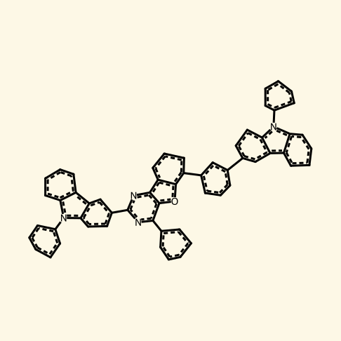 c1ccc(-c2nc(-c3ccc4c(c3)c3ccccc3n4-c3ccccc3)nc3c2oc2c(-c4cccc(-c5ccc6c(c5)c5ccccc5n6-c5ccccc5)c4)cccc23)cc1